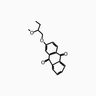 CCC(COc1ccc2c(c1)C(=O)c1ccccc1C2=O)OC